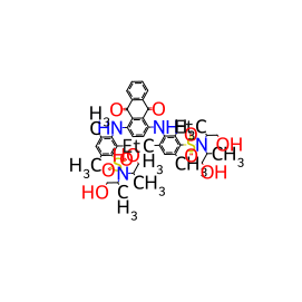 CCc1c(Nc2ccc(Nc3c(C)cc(C)c(S(=O)(=O)N(C(C)CO)C(C)CO)c3CC)c3c2C(=O)c2ccccc2C3=O)c(C)cc(C)c1S(=O)(=O)N(C(C)CO)C(C)CO